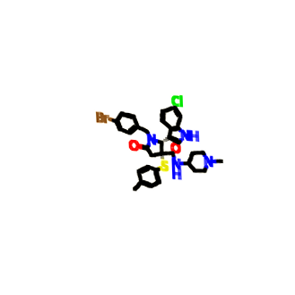 Cc1ccc(S[C@]2(C(=O)NC3CCN(C)CC3)CC(=O)N(Cc3ccc(Br)cc3)[C@@H]2c2c[nH]c3cc(Cl)ccc23)cc1